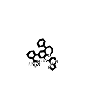 c1ccc(C2CCCOc3c(Nc4ccnc5ccnn45)cc(-c4ccccc4-c4nnn[nH]4)cc32)cc1